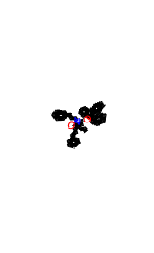 C=CC[C@]1(CCCc2ccccc2)C[C@@H](COC(c2ccccc2)(c2ccccc2)c2ccccc2)N(CCCc2ccccc2)C1=O